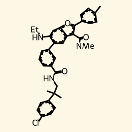 CCNc1cc2oc(-c3ccc(C)cc3)c(C(=O)NC)c2cc1-c1cccc(C(=O)NCC(C)(C)c2ccc(Cl)cc2)c1